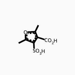 Cc1oc(C)c(S(=O)(=O)O)c1C(=O)O